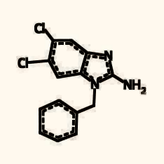 Nc1nc2cc(Cl)c(Cl)cc2n1Cc1ccccc1